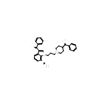 COc1cccc2c(C(=O)c3ccccc3)cn(CCCN3CCC(C(=O)c4ccccc4)CC3)c12